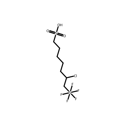 O=S(=O)(O)CCCCCC(Cl)CS(F)(F)(F)(F)F